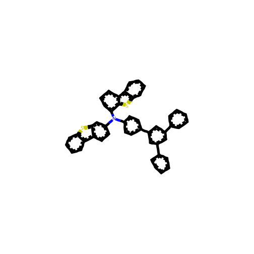 c1ccc(-c2cc(-c3ccccc3)cc(-c3ccc(N(c4ccc5c(c4)sc4ccccc45)c4cccc5c4sc4ccccc45)cc3)c2)cc1